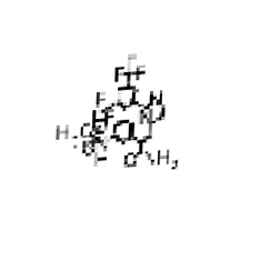 CS(=O)(=O)Nc1cccc(/C(=C\c2ccnc(-c3cc(C(F)(F)F)cc(C(F)(F)F)c3)n2)C(N)=O)c1